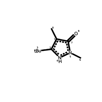 Cc1c(C(C)(C)C)[nH]n(C)c1=O